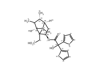 CC1[C@@H]2C3(CC(=O)O)[C@H](OC(=O)C(O)(c4cccs4)c4cccs4)C[C@H]([C@H]1C)[N+]23C